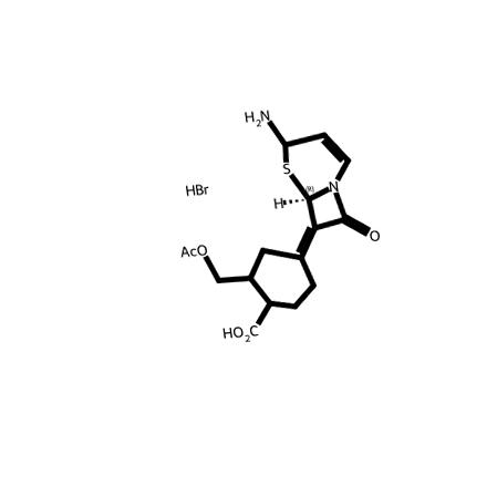 Br.CC(=O)OCC1CC(=C2C(=O)N3C=CC(N)S[C@H]23)CCC1C(=O)O